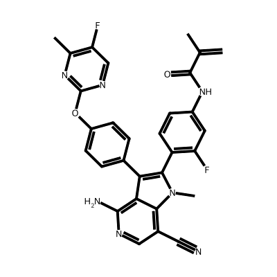 C=C(C)C(=O)Nc1ccc(-c2c(-c3ccc(Oc4ncc(F)c(C)n4)cc3)c3c(N)ncc(C#N)c3n2C)c(F)c1